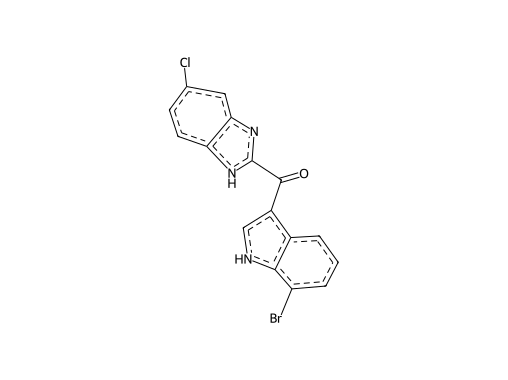 O=C(c1nc2cc(Cl)ccc2[nH]1)c1c[nH]c2c(Br)cccc12